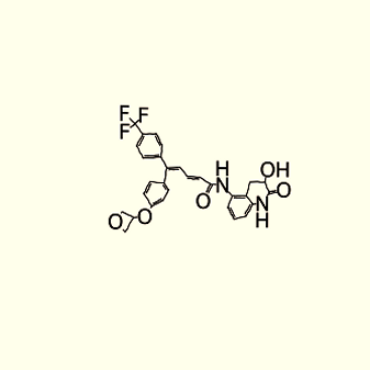 O=C(/C=C/C=C(\c1ccc(OC2COC2)cc1)c1ccc(C(F)(F)F)cc1)Nc1cccc2c1CC(O)C(=O)N2